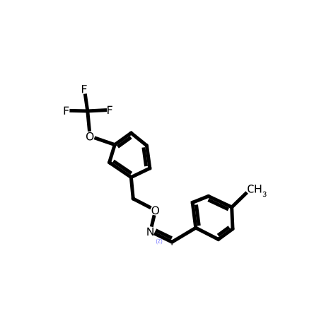 Cc1ccc(/[C]=N\OCc2cccc(OC(F)(F)F)c2)cc1